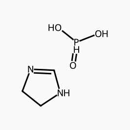 C1=NCCN1.O=[PH](O)O